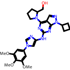 COc1cc(-n2cnc(Nc3nc(N4CCCC4CO)c4cnn(C5CCC5)c4n3)c2)cc(OC)c1OC